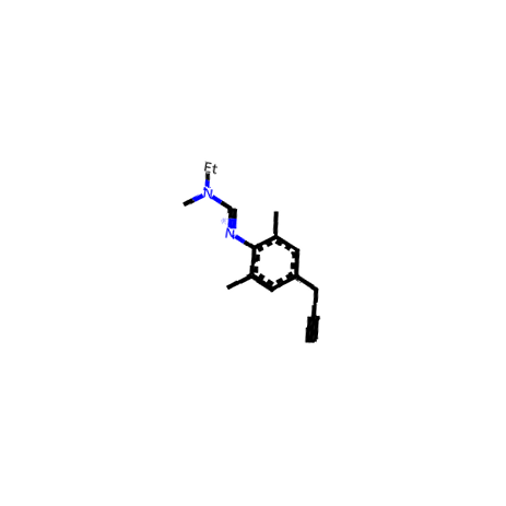 C#CCc1cc(C)c(/N=C/N(C)CC)c(C)c1